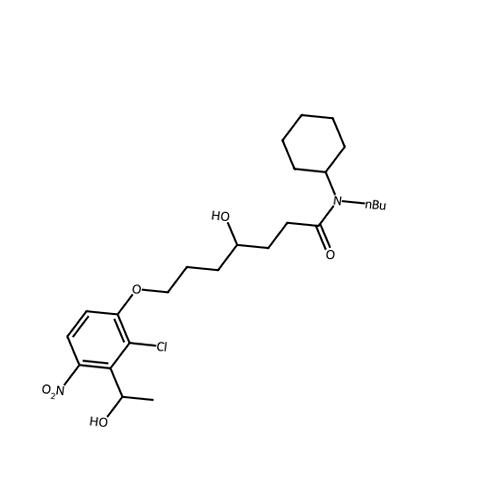 CCCCN(C(=O)CCC(O)CCCOc1ccc([N+](=O)[O-])c(C(C)O)c1Cl)C1CCCCC1